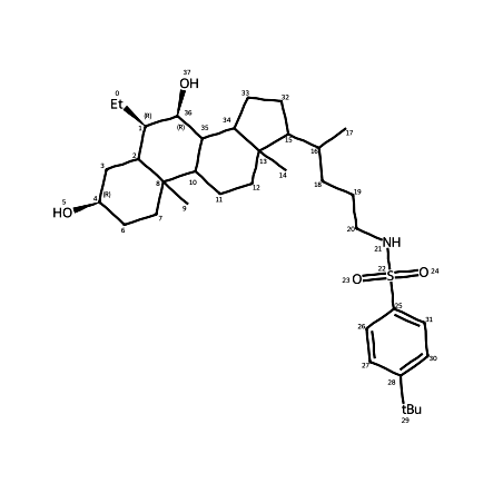 CC[C@@H]1C2C[C@H](O)CCC2(C)C2CCC3(C)C(C(C)CCCNS(=O)(=O)c4ccc(C(C)(C)C)cc4)CCC3C2[C@@H]1O